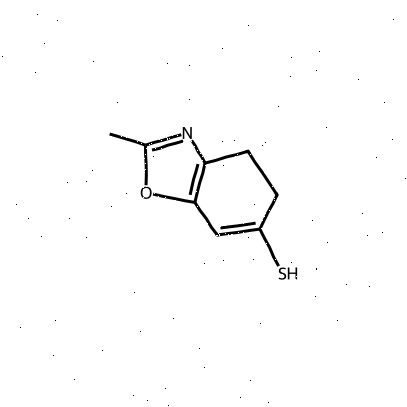 Cc1nc2c(o1)C=C(S)CC2